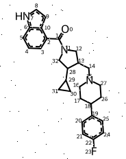 O=C(c1cccc2[nH]ccc12)N1CC(CN2CCC(c3ccc(F)cc3)CC2)C(C2CC2)C1